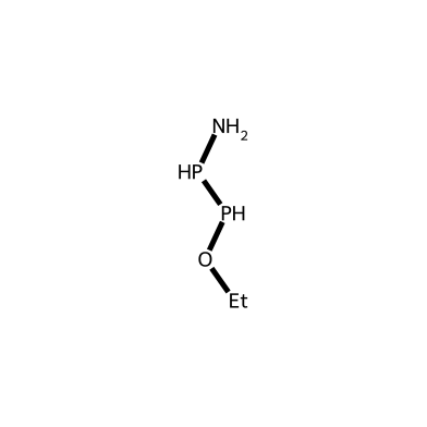 CCOPPN